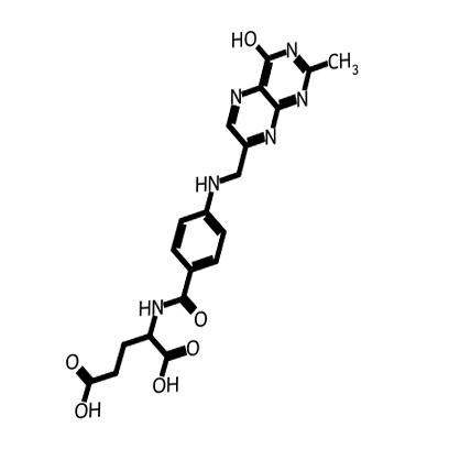 Cc1nc(O)c2ncc(CNc3ccc(C(=O)NC(CCC(=O)O)C(=O)O)cc3)nc2n1